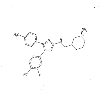 Cc1ccc(-n2nc(NCC3CCC[C@H](N)C3)cc2-c2ccc(C#N)c(F)c2)cc1